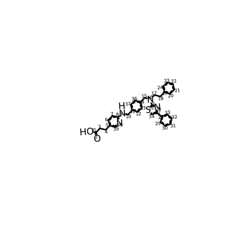 O=C(O)CCc1ccc(NCc2ccc(CN(CCc3ccccc3)c3nc(-c4ccccc4)cs3)cc2)nc1